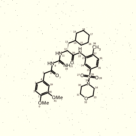 COc1ccc(CC(=O)NC(=N)N[C@H](CC2CCCCC2)C(=O)Nc2cc(S(=O)(=O)N3CCOCC3)ccc2C)cc1OC